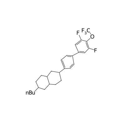 CCCCC1CCC2CC(c3ccc(-c4cc(F)c(OC(F)(F)F)c(F)c4)cc3)CCC2C1